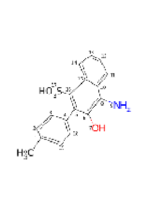 Cc1ccc(-c2c(O)c(N)c3ccccc3c2S(=O)(=O)O)cc1